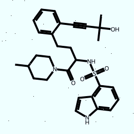 CC1CCN(C(=O)C(CCc2ccccc2C#CC(C)(C)O)NS(=O)(=O)c2cccc3[nH]ccc23)CC1